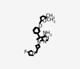 CC1(C)CCC(COc2cccc(-c3cn(C4CC(CN5CC[C@@H](F)C5)C4)c4ncnc(N)c34)c2)O1